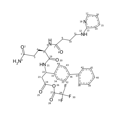 NC(=O)CC[C@@H](NC(=O)CCCNc1ccccn1)C(=O)NC(CC(=O)OC(=O)C(F)(F)F)c1ccc(-c2ccccc2)cc1